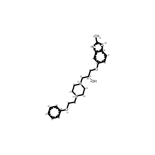 Cc1nc2cc(OC[C@H](O)CN3CCN(CCOc4ccccc4)CC3)ccc2s1